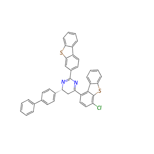 Clc1ccc(C2=NC(c3ccc4c(c3)sc3ccccc34)=N[C@@H](c3ccc(-c4ccccc4)cc3)C2)c2c1sc1ccccc12